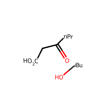 CCC(C)O.CCCC(=O)CC(=O)O